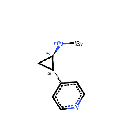 CC(C)(C)N[C@@H]1C[C@H]1c1ccncc1